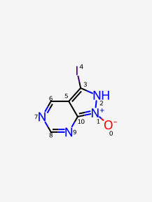 [O-][n+]1[nH]c(I)c2cncnc21